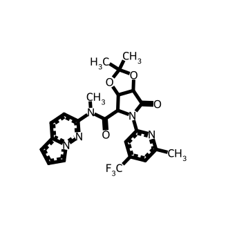 Cc1cc(C(F)(F)F)cc(N2C(=O)C3OC(C)(C)OC3C2C(=O)N(C)c2ccc3cccn3n2)n1